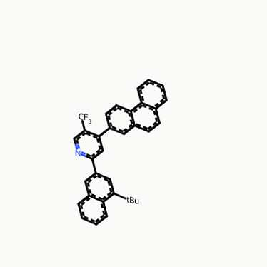 CC(C)(C)c1cc(-c2cc(-c3ccc4c(ccc5ccccc54)c3)c(C(F)(F)F)cn2)cc2ccccc12